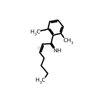 CCCC/C=C\C(=N)c1c(C)cccc1C